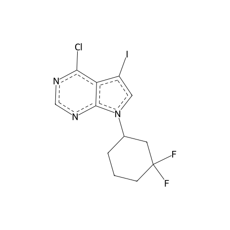 FC1(F)CCCC(n2cc(I)c3c(Cl)ncnc32)C1